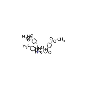 CCOC(=O)c1ccc(N2C(=O)CC(S/C(=N/c3ccc(C)cc3)NCCc3ccc(S(N)(=O)=O)cc3)C2=O)cc1